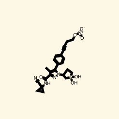 Cc1c(C(=O)NC2(C#N)CC2)nn(C2CCS(O)(O)C2)c1-c1ccc(C#CCCO[N+](=O)[O-])cc1